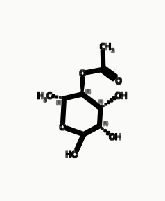 CC(=O)O[C@H]1[C@H](O)[C@H](O)C(O)O[C@@H]1C